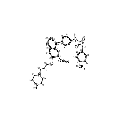 COc1cc2c(-c3ccc(NS(=O)(=O)Cc4ccc(C(F)(F)F)cc4)cc3)ncnc2cc1OCCCN1CCN(C)CC1